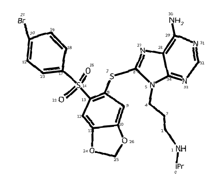 CC(C)NCCCn1c(Sc2cc3c(cc2S(=O)(=O)c2ccc(Br)cc2)OCO3)nc2c(N)ncnc21